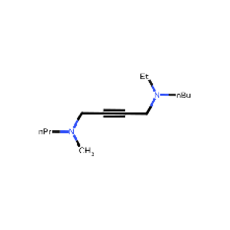 CCCCN(CC)CC#CCN(C)CCC